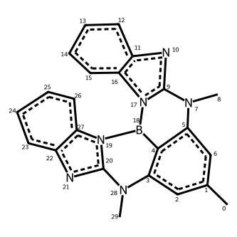 Cc1cc2c3c(c1)N(C)c1nc4ccccc4n1B3n1c(nc3ccccc31)N2C